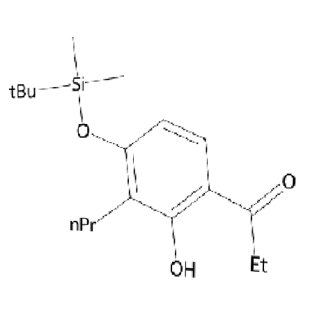 CCCc1c(O[Si](C)(C)C(C)(C)C)ccc(C(=O)CC)c1O